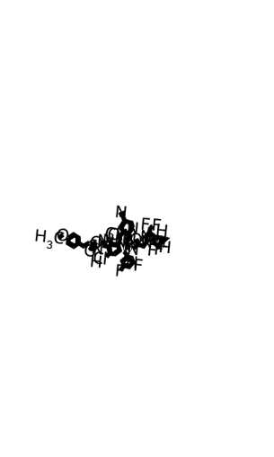 COc1ccc(CCS(=O)(=O)Nc2nn(C)c3c(-n4c([C@H](Cc5cc(F)cc(F)c5)NC(=O)Cn5nc(C(F)F)c6c5C(F)(F)[C@@H]5C[C@H]65)nc5ncc(C#N)cc5c4=O)ccc(Cl)c23)cc1